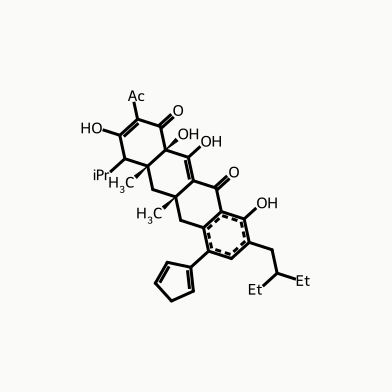 CCC(CC)Cc1cc(C2=CCC=C2)c2c(c1O)C(=O)C1=C(O)[C@@]3(O)C(=O)C(C(C)=O)=C(O)C(C(C)C)[C@@]3(C)C[C@@]1(C)C2